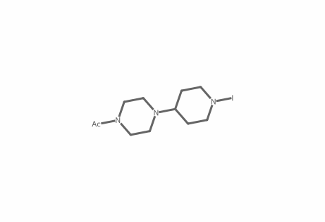 CC(=O)N1CCN(C2CCN(I)CC2)CC1